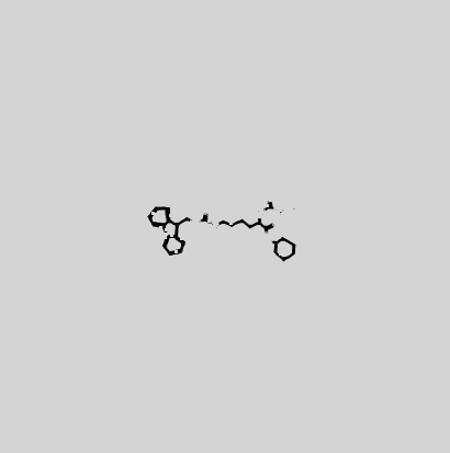 CC(C)(C)OC(=O)NC(CCCCNC(=O)OCC1c2ccccc2-c2ccccc21)C(=O)OC1CCCCC1